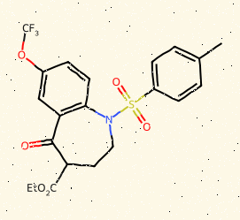 CCOC(=O)C1CCN(S(=O)(=O)c2ccc(C)cc2)c2ccc(OC(F)(F)F)cc2C1=O